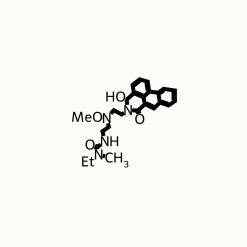 CCN(C)C(=O)NCCN(CCN1C(=O)c2cc3ccccc3c3cccc(c23)C1O)OC